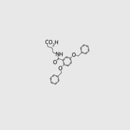 O=C(O)CCCNC(=O)c1cc(OCc2ccccc2)ccc1OCc1ccccc1